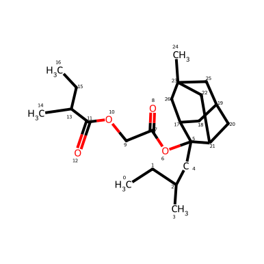 CCC(C)CC1(OC(=O)COC(=O)C(C)CC)C2CC3CC1CC(C)(C3)C2